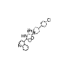 CC(C)[C@@H](NC(=O)c1ccnc2ccccc12)C(=O)N1CCC(c2ccc(Cl)cc2)CC1